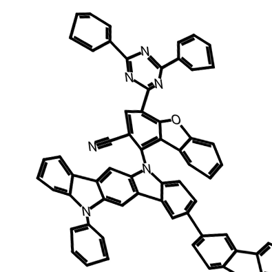 N#Cc1cc(-c2nc(-c3ccccc3)nc(-c3ccccc3)n2)c2oc3ccccc3c2c1-n1c2ccc(-c3ccc4sc5ccccc5c4c3)cc2c2cc3c(cc21)c1ccccc1n3-c1ccccc1